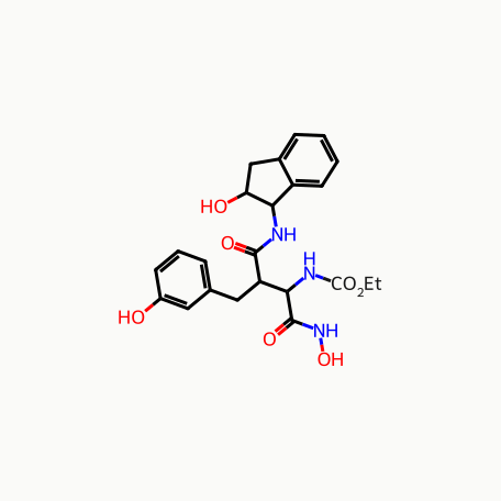 CCOC(=O)NC(C(=O)NO)C(Cc1cccc(O)c1)C(=O)NC1c2ccccc2CC1O